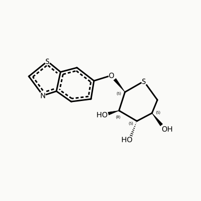 O[C@@H]1[C@@H](O)[C@@H](Oc2ccc3ncsc3c2)SC[C@H]1O